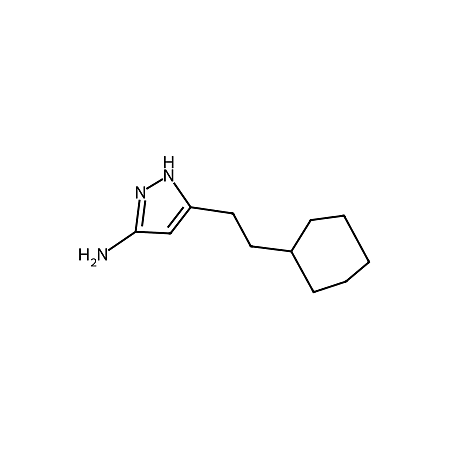 Nc1cc(CCC2CCCCC2)[nH]n1